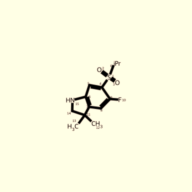 CC(C)S(=O)(=O)c1cc2c(cc1F)C(C)(C)CN2